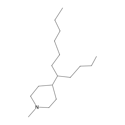 CCCCCCC(CCCC)C1CCN(C)CC1